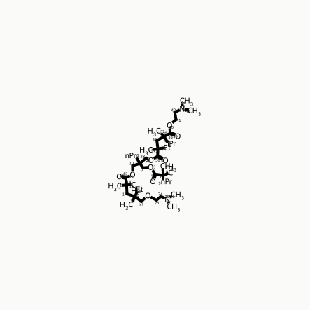 CCCC(COC(=O)C(C)(C)CCC)(COC(=O)C(C)(C)CC(C)(CC)COCCN(C)C)COC(=O)C(C)(CC)CC(C)(C(=O)OCCN(C)C)C(C)C